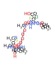 Cc1ncsc1-c1ccc([C@H](C)NC(=O)[C@@H]2C[C@@H](O)CN2C(=O)[C@@H](NC(=O)COCCOCCOCCOCCN(C)C(=O)CC(=O)Nc2nc(N3CCN(C(=O)OC(C)(C)C)CC3)c3cc(Cl)c(-c4cc(O)cc5ccccc45)c(F)c3n2)C(C)(C)C)cc1